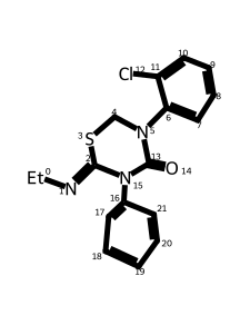 CCN=C1SCN(c2ccccc2Cl)C(=O)N1c1ccccc1